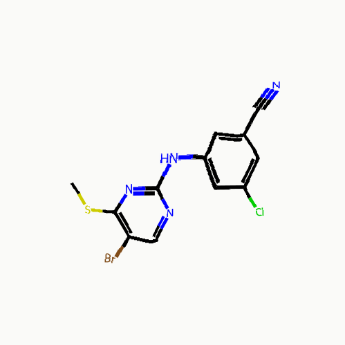 CSc1nc(Nc2cc(Cl)cc(C#N)c2)ncc1Br